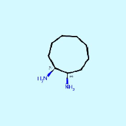 N[C@@H]1CCCCCCC[C@@H]1N